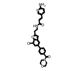 Nc1ccc(C=CC(=O)NCCc2cc3cc(-c4ccc(C(=O)N5CCOCC5)cc4)cc(Cl)c3o2)cn1